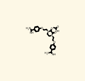 CC(=O)O.N=C(N)c1ccc(OCCN2CCN(CCOc3ccc(C(=N)N)cc3)C(=O)C2=O)cc1